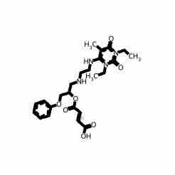 CCn1c(NCCNCC(COc2ccccc2)OC(=O)/C=C/C(=O)O)c(C)c(=O)n(CC)c1=O